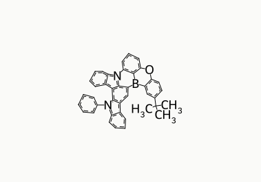 CC(C)(C)c1ccc2c(c1)B1c3c(cccc3-n3c4ccccc4c4c3c1cc1c3ccccc3n(-c3ccccc3)c14)O2